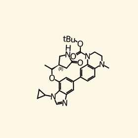 CC(Oc1cc(-c2ccc3c(c2)N(C(=O)OC(C)(C)C)CCN3C)cc2ncn(C3CC3)c12)[C@H]1CNC(=O)C1